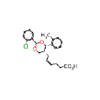 Cc1ccccc1[C@H]1OC(c2ccccc2Cl)OC[C@H]1C/C=C\CCC(=O)O